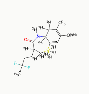 [2H]N1C(=O)C([2H])(CCC(C)(F)F)C([2H])([2H])S([2H])([2H])([2H])([2H])C2=CC(OC)=C(C(F)(F)F)C([2H])([2H])C21[2H]